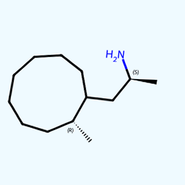 C[C@H](N)CC1CCCCCCC[C@H]1C